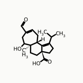 CC(C)C1=C2[C@H]3CC=C(C=O)CC(O)[C@]3(C)CC[C@@]2(C(=O)O)CC1